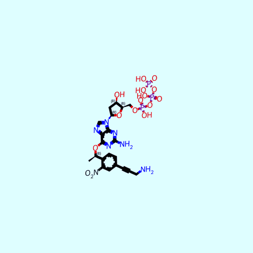 C[C@@H](Oc1nc(N)nc2c1ncn2[C@H]1C[C@@H](O)[C@@H](COP(=O)(O)OP(=O)(O)OP(=O)(O)O)O1)c1ccc(C#CCN)cc1[N+](=O)[O-]